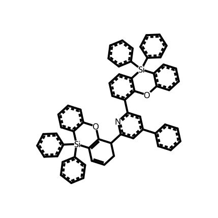 C1=CC2=C(Oc3ccccc3[Si]2(c2ccccc2)c2ccccc2)C(c2cc(-c3ccccc3)cc(-c3cccc4c3Oc3ccccc3[Si]4(c3ccccc3)c3ccccc3)n2)C1